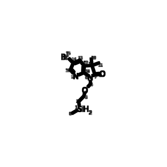 C[SiH2]CCOCN1C(=O)C(C)(C)c2cc(Br)cnc21